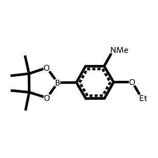 CCOc1ccc(B2OC(C)(C)C(C)(C)O2)cc1NC